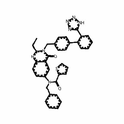 CCc1nc2ccc(N(Cc3ccccc3)C(=O)c3cccs3)cc2c(=O)n1Cc1ccc(-c2ccccc2-c2nnn[nH]2)cc1